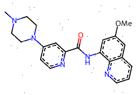 COc1cc(NC(=O)c2cc(N3CCN(C)CC3)ccn2)c2ncccc2c1